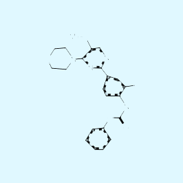 COc1cnc(-c2ccc(NC(=O)Oc3ccccc3)c(F)c2)nc1N1CCOCC1